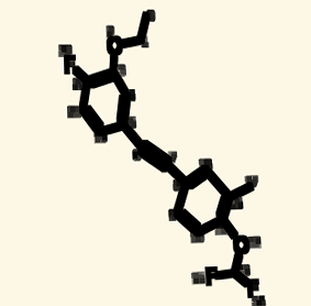 CCOc1cc(C#Cc2ccc(OC(F)F)c(C)c2)ccc1F